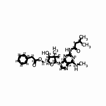 CNc1nc(NC(=O)CC(C)C)nc2c1ncn2[C@@H]1O[C@H](COC(=O)Cc2ccccc2)[C@@H](O)[C@@]1(C)F